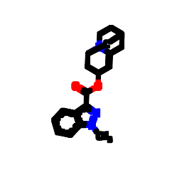 Cn1nc(C(=O)OC2C=C3CC4CCN3C(C4)C2)c2ccccc21